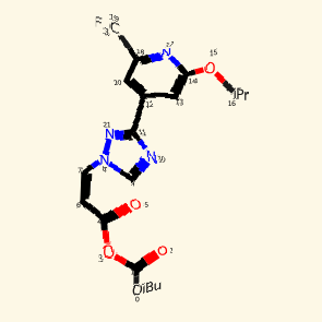 CC(C)COC(=O)OC(=O)/C=C\n1cnc(-c2cc(OC(C)C)nc(C(F)(F)F)c2)n1